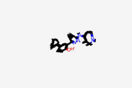 CC1C(N(C)c2ccc(-c3cc(C4=CCCC4)ccc3O)nn2)CCN(C)C1(C)C